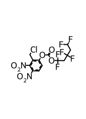 O=C(Oc1ccc([N+](=O)[O-])c([N+](=O)[O-])c1CCl)OC(F)(F)CC(F)(F)CC(F)F